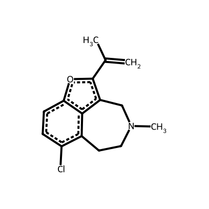 C=C(C)c1oc2ccc(Cl)c3c2c1CN(C)CC3